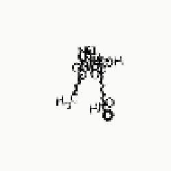 CCCCCCOC(=O)Nc1ccnc(=O)n1[C@@H]1O[C@H](CO)[C@@H](OC(=O)CCCCCCC(=O)Nc2ccccc2)C1(F)F